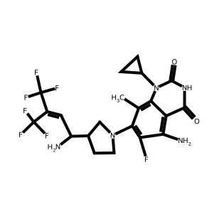 Cc1c(N2CCC(C(N)C=C(C(F)(F)F)C(F)(F)F)C2)c(F)c(N)c2c(=O)[nH]c(=O)n(C3CC3)c12